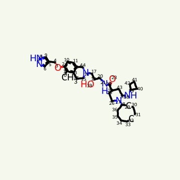 Cc1c(OCc2cn[nH]c2)ccc2c1CCN(C[C@@H](O)CNC(=O)C1CCN(C3CCCCCCCC3)C(NC3CCC3)C1)C2